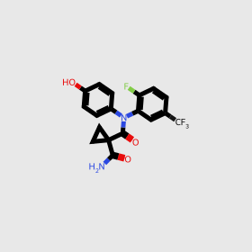 NC(=O)C1(C(=O)N(c2ccc(O)cc2)c2cc(C(F)(F)F)ccc2F)CC1